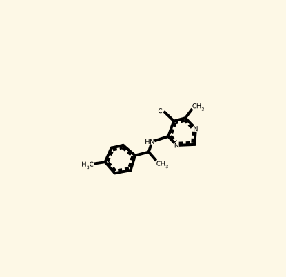 Cc1ccc(C(C)Nc2ncnc(C)c2Cl)cc1